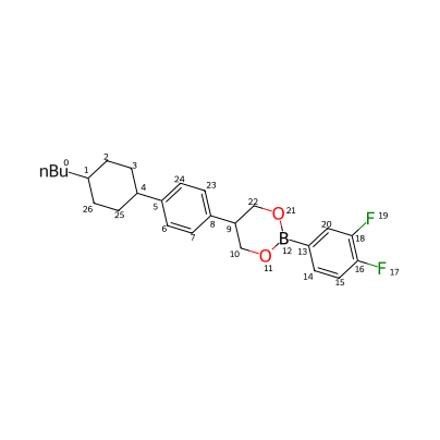 CCCCC1CCC(c2ccc(C3COB(c4ccc(F)c(F)c4)OC3)cc2)CC1